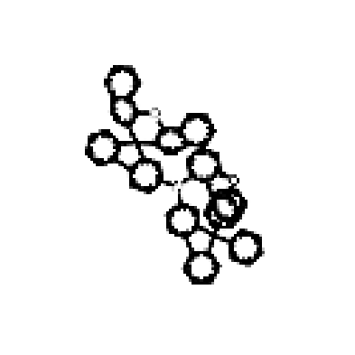 c1ccc(C2(c3ccccc3)c3ccccc3-c3ccc(N(c4ccc5c(c4)C4(c6ccccc6-5)c5ccc6ccccc6c5Oc5c4ccc4ccccc54)c4cccc5oc6ccccc6c45)cc32)cc1